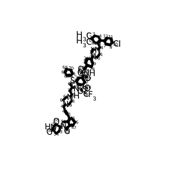 CC1(C)CCC(c2ccc(Cl)cc2)=C(CN2CCN(c3ccc(C(=O)NS(=O)(=O)c4ccc(NC(CCN5CCN(CC#Cc6cccc7c6CN(C6CCC(=O)NC6=O)C7=O)CC5)CSc5ccccc5)c(S(=O)(=O)C(F)(F)F)c4)cc3)CC2)C1